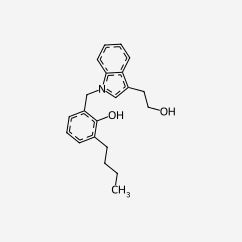 CCCCc1cccc(Cn2cc(CCO)c3ccccc32)c1O